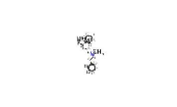 CNCC(CCCN(C)CCc1ccccc1)c1ccccc1